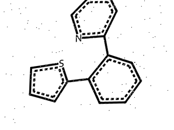 [c]1cccc(-c2cccs2)c1-c1ccccn1